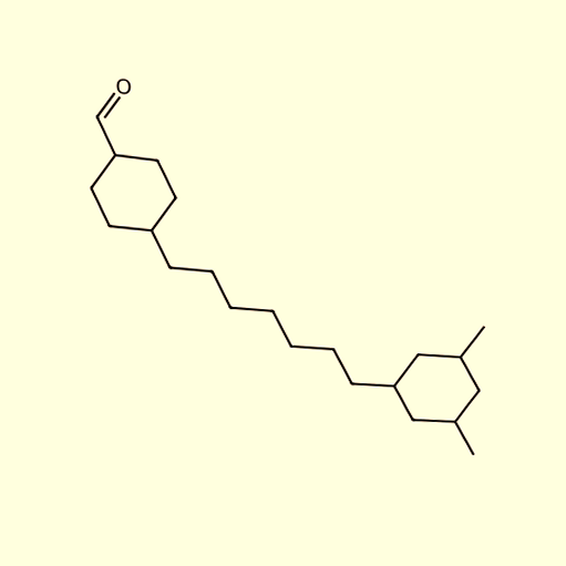 CC1CC(C)CC(CCCCCCCC2CCC(C=O)CC2)C1